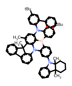 Cc1cc2c3c4c1C1(C)c5ccccc5-c5cccc(c51)N4c1cc(N4c5ccccc5C5(C)CCCCC45C)ccc1B3c1ccc(C(C)(C)C)cc1N2c1ccc(C(C)(C)C)cc1-c1ccccc1